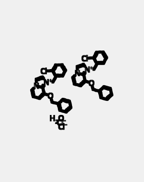 Clc1ccccc1C[n+]1ccn2cccc(OCc3ccccc3)c21.Clc1ccccc1C[n+]1ccn2cccc(OCc3ccccc3)c21.O.[Cl-].[Cl-]